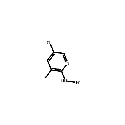 Cc1cc(Cl)cnc1NC(C)C